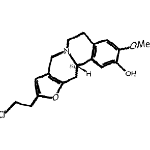 COc1cc2c(cc1O)[C@@H]1Cc3oc(CCCl)cc3CN1CC2